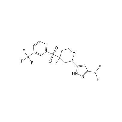 CC1(S(=O)(=O)c2cccc(C(F)(F)F)c2)CCOC(c2cc(C(F)F)n[nH]2)C1